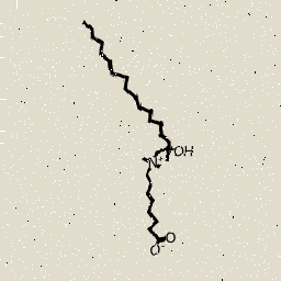 CCCCCCCCCCCCCCCCC(C)(O)C[N+](C)(C)CCCCCCCC(=O)[O-]